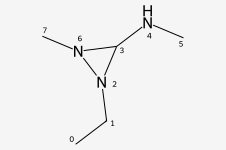 CCN1C(NC)N1C